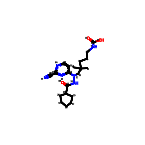 CC(C)(CCCNC(=O)O)CN(NC(=O)C1CCCCC1)c1ccnc(C#N)n1